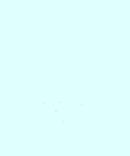 CC1=NO[C@@]2(CC[C@H](C)N3C[C@H]2n2cc(C(=O)NCc4ccc(F)cc4F)c(=O)c(OCOC(=O)CCCCOP(=O)(OC(C)(C)C)OC(C)(C)C)c2C3=O)C1